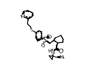 N#CC1(NC(=O)C2CCCCC2CS(=O)(=O)c2ccc(SCCc3ccccn3)cc2)CC1